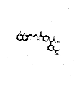 NC(=O)c1cccc(C(C(=O)O)N2CCC(C(=O)NCCCc3ccc4c(n3)NCCC4)CC2)c1